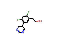 OCCc1cc(-c2cncnc2)c(F)cc1F